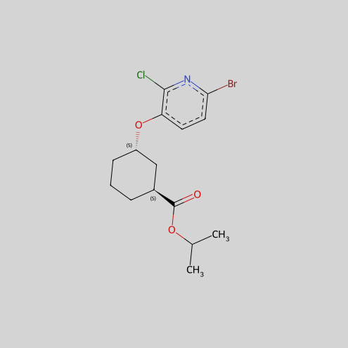 CC(C)OC(=O)[C@H]1CCC[C@H](Oc2ccc(Br)nc2Cl)C1